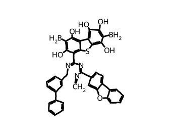 Bc1c(O)c(O)c2c(sc3c(C(/N=C(\N=C)c4ccc5c(c4)oc4ccccc45)=N/Cc4cccc(-c5ccccc5)c4)c(O)c(B)c(O)c32)c1O